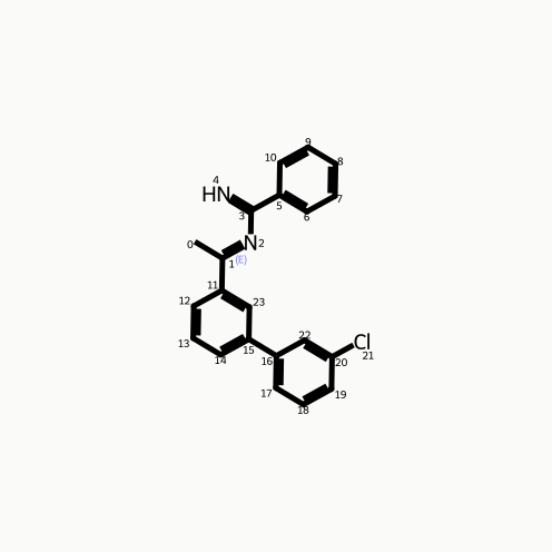 C/C(=N\C(=N)c1ccccc1)c1cccc(-c2cccc(Cl)c2)c1